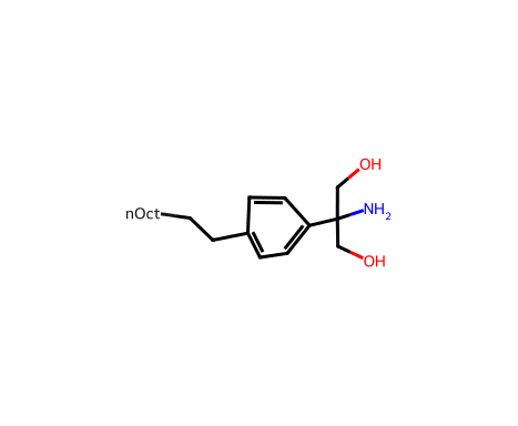 CCCCCCCCCCc1ccc(C(N)(CO)CO)cc1